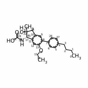 CCCCc1ccc(-c2cc3c(cc2OCC)[C@H](NC(=O)O)C(C)(C)C3)cc1